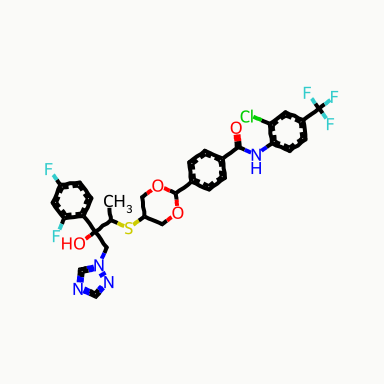 CC(SC1COC(c2ccc(C(=O)Nc3ccc(C(F)(F)F)cc3Cl)cc2)OC1)C(O)(Cn1cncn1)c1ccc(F)cc1F